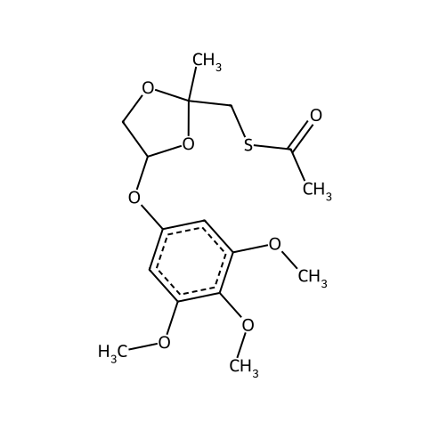 COc1cc(OC2COC(C)(CSC(C)=O)O2)cc(OC)c1OC